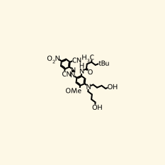 COc1cc(N=Nc2c(C#N)cc([N+](=O)[O-])cc2C#N)c(NC(=O)CC(C)CC(C)(C)C)cc1N(CCCCO)CCCCO